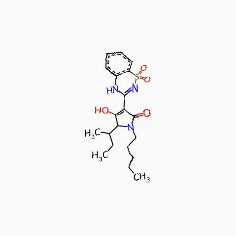 CCCCCN1C(=O)C(C2=NS(=O)(=O)c3ccccc3N2)=C(O)C1C(C)CC